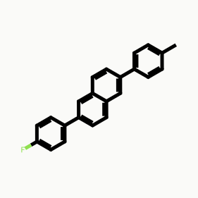 Cc1ccc(-c2ccc3cc(-c4ccc(F)cc4)ccc3c2)cc1